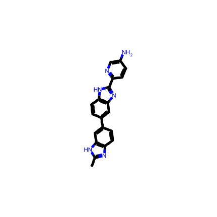 Cc1nc2ccc(-c3ccc4[nH]c(-c5ccc(N)cn5)nc4c3)cc2[nH]1